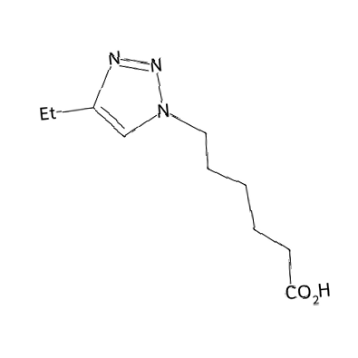 CCc1cn(CCCCCC(=O)O)nn1